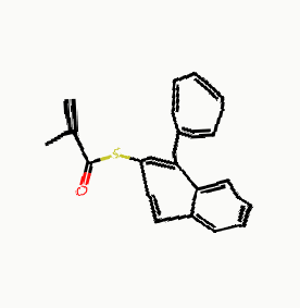 C=C(C)C(=O)Sc1ccc2ccccc2c1-c1ccccc1